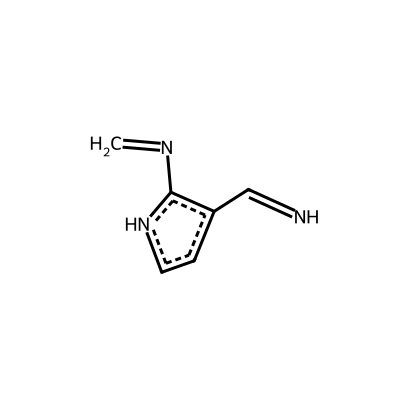 C=Nc1[nH]ccc1C=N